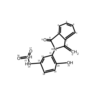 C=C1c2ccccc2C(=O)N1c1cc(N[SH](=O)=O)ccc1O